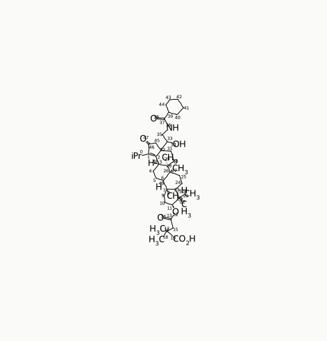 CC(C)C1=C2[C@H]3CC[C@@H]4[C@@]5(C)CC[C@H](OC(=O)CC(C)(C)C(=O)O)C(C)(C)[C@@H]5CC[C@@]4(C)[C@]3(C)CCC2(C(O)CNC(=O)C2CCCCC2)CC1=O